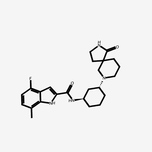 Cc1ccc(F)c2cc(C(=O)N[C@@H]3CCC[C@@H](N4CCCC5(CCNC5=O)C4)C3)[nH]c12